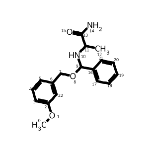 COc1cccc(COC(NC(C)C(N)=O)c2ccccc2)c1